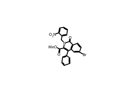 COC(=O)c1c(-c2ccccc2)c2cc(Br)ccc2c(=O)n1Cc1ccccc1[N+](=O)[O-]